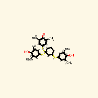 Cc1cc(SC2CCCC(Sc3cc(C)c(O)c(C(C)(C)C)c3)(Sc3cc(C)c(O)c(C(C)(C)C)c3)C2)cc(C(C)(C)C)c1O